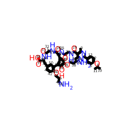 Cc1nc(-c2ccc(OC(C)C)cc2)nc(C)c1C(=O)NCC(=O)N(C)[C@@H]1C(=O)N[C@@H](C)C(=O)N[C@H](C(=O)O)Cc2ccc(OCCCN)c(c2)-c2cc1cc(OCCCN)c2O